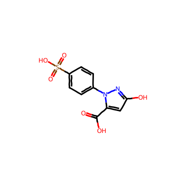 O=C(O)c1cc(O)nn1-c1ccc(S(=O)(=O)O)cc1